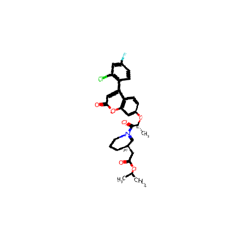 CC(C)OC(=O)C[C@H]1CCCN(C(=O)[C@@H](C)Oc2ccc3c(-c4ccc(F)cc4Cl)cc(=O)oc3c2)C1